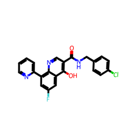 O=C(NCc1ccc(Cl)cc1)c1cnc2c(-c3ccccn3)cc(F)cc2c1O